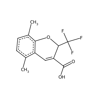 Cc1ccc(C)c2c1C=C(C(=O)O)C(C(F)(F)F)O2